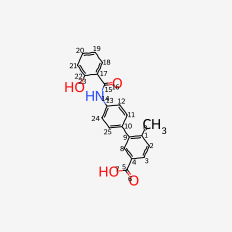 Cc1ccc(C(=O)O)cc1-c1ccc(NC(=O)c2ccccc2O)cc1